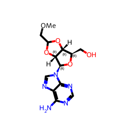 COCC1O[C@@H]2[C@H](O1)[C@@H](CO)O[C@H]2n1cnc2c(N)ncnc21